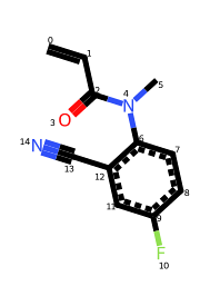 C=CC(=O)N(C)c1ccc(F)cc1C#N